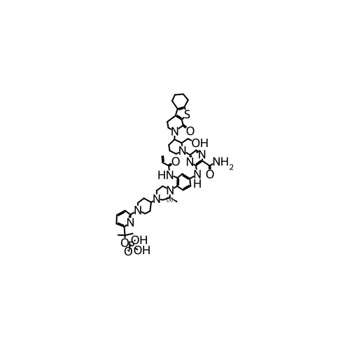 C=CC(=O)Nc1cc(Nc2nc(N3CCCC(N4CCc5c(sc6c5CCCC6)C4=O)C3CO)cnc2C(N)=O)ccc1N1CCN(C2CCN(c3cccc(C(C)(C)OP(=O)(O)O)n3)CC2)C[C@@H]1C